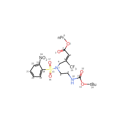 CCCOC(=O)/C=C(\CN(CCNC(=O)OC(C)(C)C)S(=O)(=O)c1ccccc1[N+](=O)[O-])C(F)(F)F